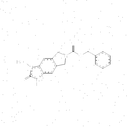 Cn1c(=O)[nH]c2cc3c(cc21)CN(C(=O)OCc1ccccc1)C3